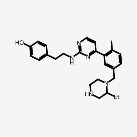 CCC1CNCCN1Cc1ccc(C)c(-c2ccnc(NCCc3ccc(O)cc3)n2)c1